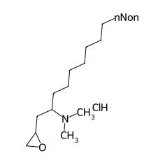 CCCCCCCCCCCCCCCCC(CC1CO1)N(C)C.Cl